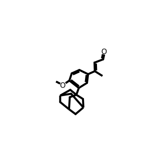 COc1ccc(C(C)=CC=O)cc1C12CC3CC(CC(C3)C1)C2